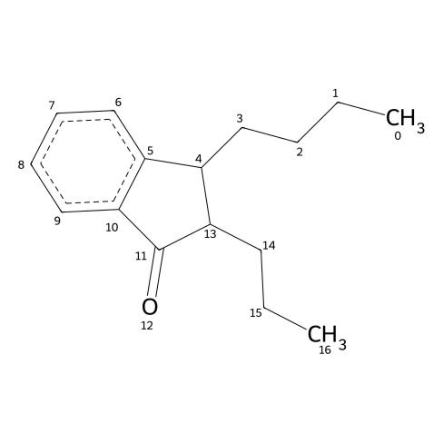 CCCCC1c2ccccc2C(=O)C1CCC